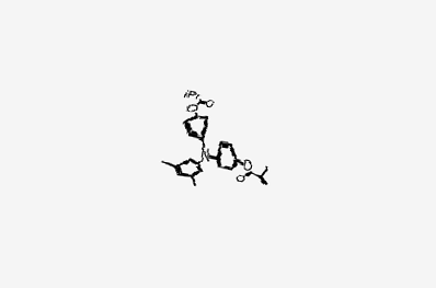 C=C(C)C(=O)Oc1ccc(N(c2ccc(OC(=O)C(C)C)cc2)c2cc(C)cc(C)c2)cc1